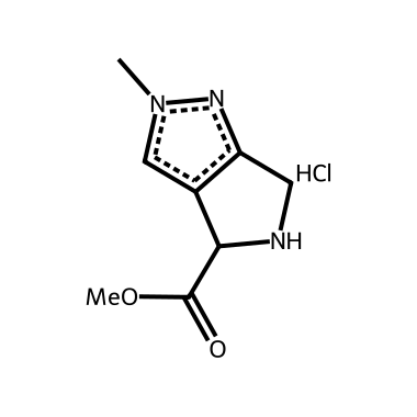 COC(=O)C1NCc2nn(C)cc21.Cl